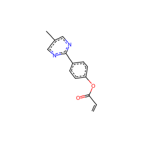 C=CC(=O)Oc1ccc(-c2ncc(C)cn2)cc1